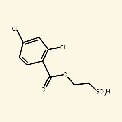 O=C(OCCS(=O)(=O)O)c1ccc(Cl)cc1Cl